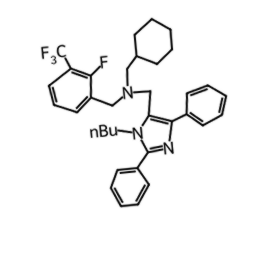 CCCCn1c(-c2ccccc2)nc(-c2ccccc2)c1CN(Cc1cccc(C(F)(F)F)c1F)CC1CCCCC1